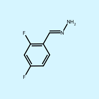 NN=Cc1ccc(F)cc1F